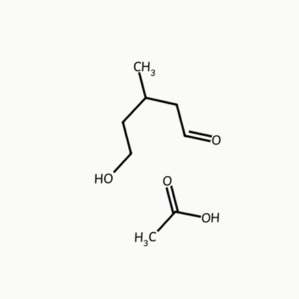 CC(=O)O.CC(CC=O)CCO